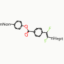 CCCCCCCCCc1ccc(OC(=O)c2ccc(/C(F)=C(\F)CCCCCCC)cc2)cc1